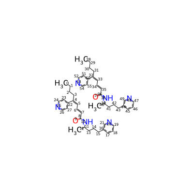 CCCC/C(=C/C=C/C(=O)N[C@H](C)CCCc1cccnc1)c1ccncc1.CCCCC(=CC=CC(=O)N[C@H](C)CCCc1cccnc1)c1ccncc1